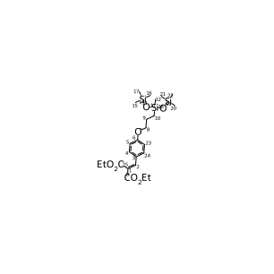 CCOC(=O)C(=Cc1ccc(OCCC[Si](C)(O[Si](C)(C)C)O[Si](C)(C)C)cc1)C(=O)OCC